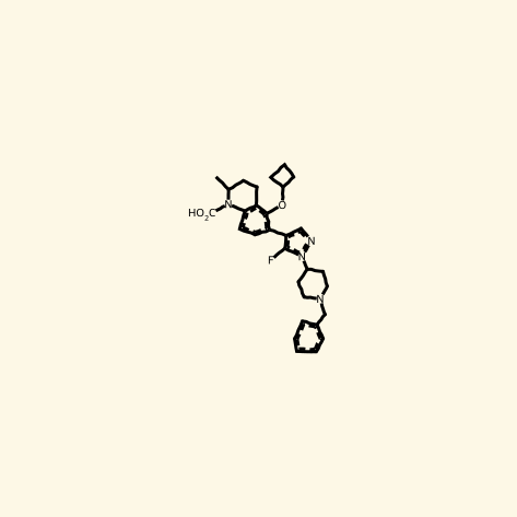 CC1CCc2c(ccc(-c3cnn(C4CCN(Cc5ccccc5)CC4)c3F)c2OC2CCC2)N1C(=O)O